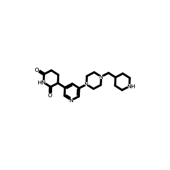 O=C1CCC(c2cncc(N3CCN(CC4CCNCC4)CC3)c2)C(=O)N1